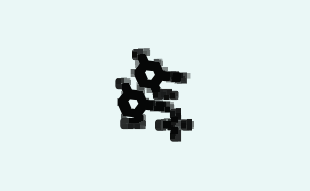 COC1C=CC(Cl)=CC1=[N+]=[N-].COC1C=CC(Cl)=CC1=[N+]=[N-].[Cl][Zn-2]([Cl])([Cl])[Cl]